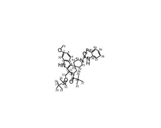 COc1ccc2c3c([nH]c2c1)[C@H](CO[Si](C)(C)C(C)(C)C)N(C(=O)C(C)(C)C)CC31CCN(C(=O)Nc2ccccc2F)CC1